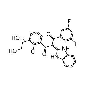 O=C(C(C(=O)c1cccc([C@@H](O)CO)c1Cl)=C1Nc2ccccc2N1)c1cc(F)cc(F)c1